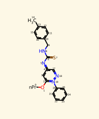 CCCOc1cc(=NC(=S)NCc2ccc(C)cc2)cnn1-c1ccccc1